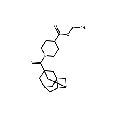 CCOC(=O)C1CCN(C(=O)C23CC4CC5C(C2)CC5(C4)C3)CC1